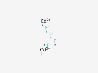 [Cd+2].[Cd+2].[F-].[F-].[F-].[F-]